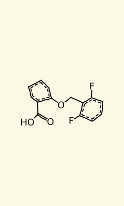 O=C(O)c1ccccc1OCc1c(F)cccc1F